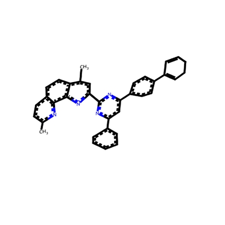 Cc1ccc2ccc3c(C)cc(-c4nc(-c5ccccc5)cc(-c5ccc(C6=CCCC=C6)cc5)n4)nc3c2n1